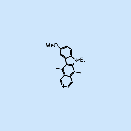 CCn1c2ccc(OC)cc2c2c(C)c3cnccc3c(C)c21